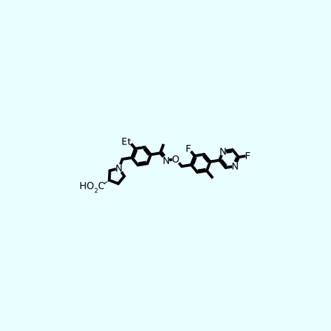 CCc1cc(/C(C)=N/OCc2cc(C)c(-c3cnc(F)cn3)cc2F)ccc1CN1CC[C@H](C(=O)O)C1